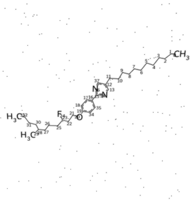 CCCCCCCCCCCCc1cnc(-c2ccc(OCCC(F)CCCC(C)CCCC)cc2)nc1